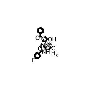 CC(C)C[C@H](NC(=O)c1ccc(F)cc1)C(=O)NC1CN(C(=O)c2ccccc2)CC1O